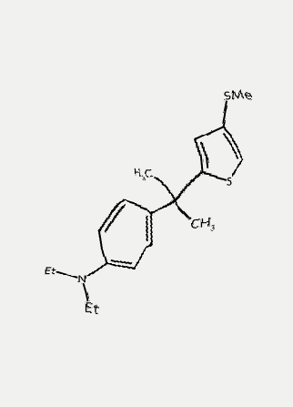 CCN(CC)c1ccc(C(C)(C)c2cc(SC)cs2)cc1